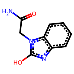 NC(=O)Cn1c(O)nc2ccccc21